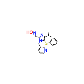 CC(C)c1nc(C=NO)n(Cc2cccnc2)c1Sc1ccccc1